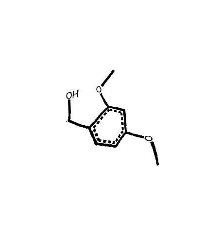 COc1ccc([CH]O)c(OC)c1